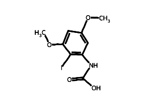 COc1cc(NC(=O)O)c(I)c(OC)c1